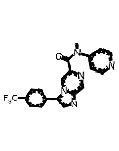 CN(C(=O)c1cn2c(-c3ccc(C(F)(F)F)cc3)cnc2cn1)c1ccncc1